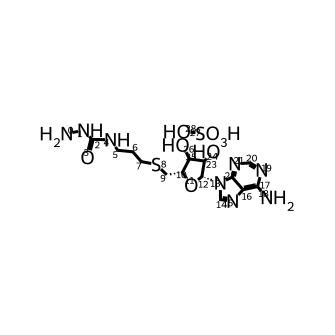 NNC(=O)NCCCSC[C@H]1O[C@@H](n2cnc3c(N)ncnc32)C(O)C1O.O=S(=O)(O)O